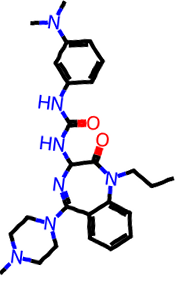 CCCN1C(=O)C(NC(=O)Nc2cccc(N(C)C)c2)N=C(N2CCN(C)CC2)c2ccccc21